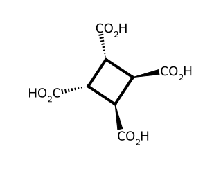 O=C(O)[C@H]1[C@H](C(=O)O)[C@H](C(=O)O)[C@H]1C(=O)O